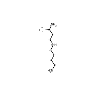 NCCCCNCCC(N)P